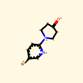 O=C1CCN(c2ccc(Br)cn2)CC1